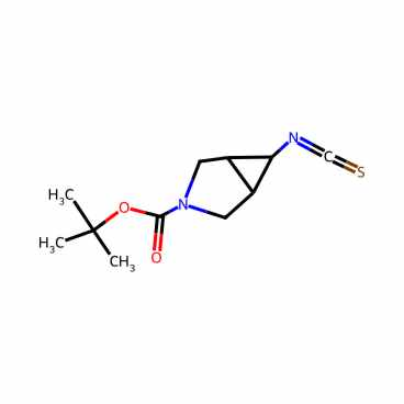 CC(C)(C)OC(=O)N1CC2C(C1)C2N=C=S